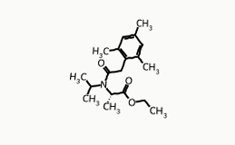 CCOC(=O)[C@H](C)N(C(=O)Cc1c(C)cc(C)cc1C)C(C)C